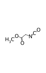 COC(=O)CN=C=O